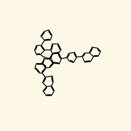 c1ccc(-c2ccccc2-c2c(-c3ccccc3)cccc2N(c2ccc(-c3ccc(-c4ccc5ccccc5c4)cc3)cc2)c2cccc(-c3ccc4ccccc4c3)c2)cc1